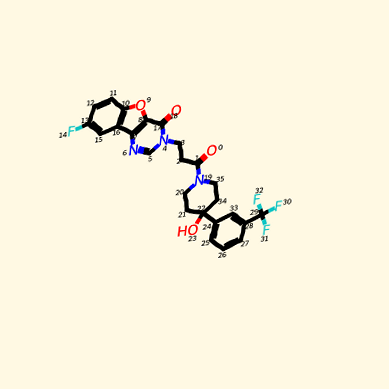 O=C(CCn1cnc2c(oc3ccc(F)cc32)c1=O)N1CCC(O)(c2cccc(C(F)(F)F)c2)CC1